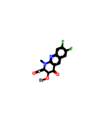 CCOC1C(=O)c2cc3cc(F)c(F)cc3nc2N(C)C1=C=O